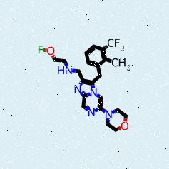 Cc1c(Cc2c(CNCCOF)nc3cnc(N4CCOCC4)cn23)cccc1C(F)(F)F